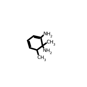 CC1C=CC=C(N)C1(C)N